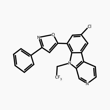 FC(F)(F)Cn1c2cnccc2c2cc(Cl)cc(-c3cc(-c4ccccc4)no3)c21